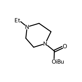 CCN1CCN(C(=O)OCC(C)C)CC1